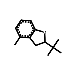 Cc1cccc2c1CC(C(C)(C)C)O2